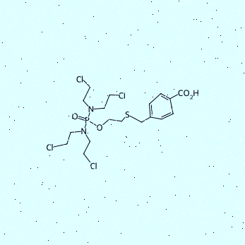 O=C(O)c1ccc(CSCCOP(=O)(N(CCCl)CCCl)N(CCCl)CCCl)cc1